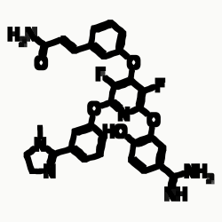 CN1CCN=C1c1cccc(Oc2nc(Oc3cc(C(=N)N)ccc3O)c(F)c(Oc3cccc(C=CC(N)=O)c3)c2F)c1